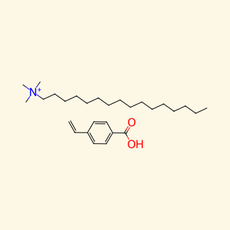 C=Cc1ccc(C(=O)O)cc1.CCCCCCCCCCCCCCCC[N+](C)(C)C